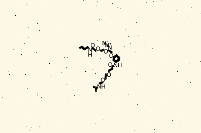 C/C=C/CNC(=O)COCCOC(COc1cccc(NC(=O)CCOCCOCCNC(C)C)c1)N=[N+]=[N-]